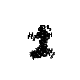 COc1ccc2c(c1)C(C)(C)CN(C1CCN(C(=O)Cn3cc(-c4cccc(F)c4Cl)c(=O)n(C(C)C)c3=O)CC1)C(=O)N2